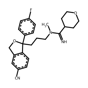 CN(CCCC1(c2ccc(F)cc2)OCc2cc(C#N)ccc21)C(=N)C1CCOCC1